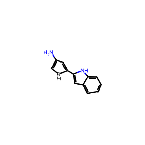 NC1=CBC(c2cc3ccccc3[nH]2)=C1